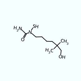 CC(C)(CO)CCCCN(S)C(N)=O